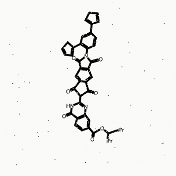 CC(C)C(OC(=O)c1ccc2c(=O)[nH]c(C3C(=O)c4cc5c(cc4C3=O)C(=O)N(c3ccc(C4=CCC=C4)cc3C3=CC=CC3)C5=O)nc2c1)C(C)C